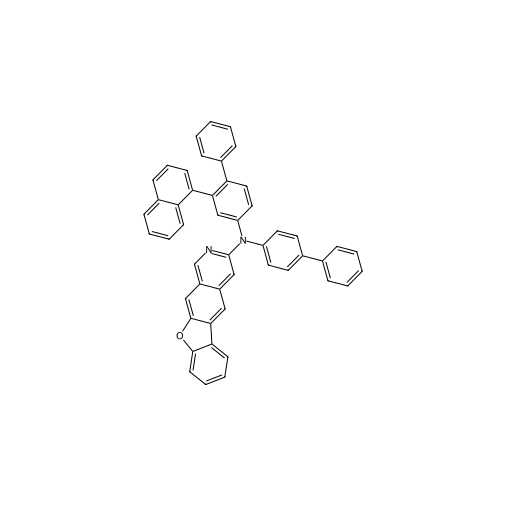 c1ccc(-c2ccc(N(c3ccc(-c4ccccc4)c(-c4cccc5ccccc45)c3)c3cc4cc5c(cc4cn3)oc3ccccc35)cc2)cc1